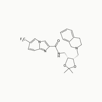 CC1(C)O[C@@H](CN2CCc3ccccc3C2)[C@@H](CNC(=O)c2cn3cc(C(F)(F)F)ccc3n2)O1